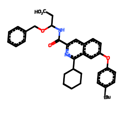 CC(C)(C)c1ccc(Oc2ccc3cc(C(=O)NC(CC(=O)O)OCc4ccccc4)nc(C4CCCCC4)c3c2)cc1